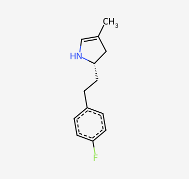 CC1=CN[C@@H](CCc2ccc(F)cc2)C1